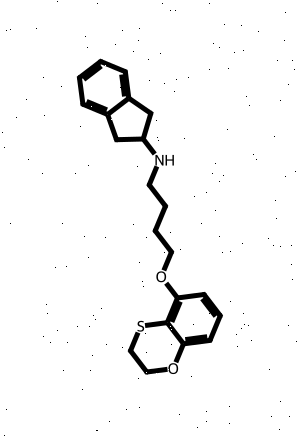 c1ccc2c(c1)CC(NCCCCOc1cccc3c1SCCO3)C2